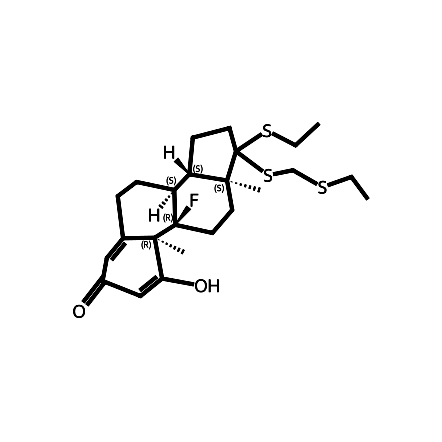 CCSCSC1(SCC)CC[C@H]2[C@@H]3CCC4=CC(=O)C=C(O)[C@]4(C)[C@@]3(F)CC[C@@]21C